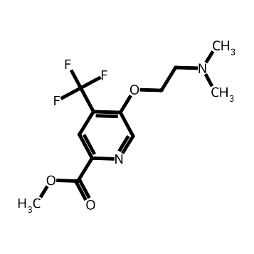 COC(=O)c1cc(C(F)(F)F)c(OCCN(C)C)cn1